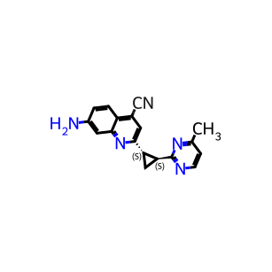 Cc1ccnc([C@H]2C[C@@H]2c2cc(C#N)c3ccc(N)cc3n2)n1